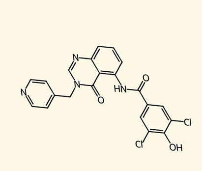 O=C(Nc1cccc2ncn(Cc3ccncc3)c(=O)c12)c1cc(Cl)c(O)c(Cl)c1